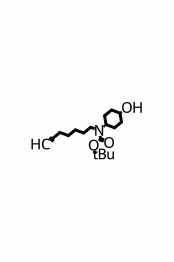 C#CCCCCCN(C(=O)OC(C)(C)C)[C@H]1CC[C@@H](O)CC1